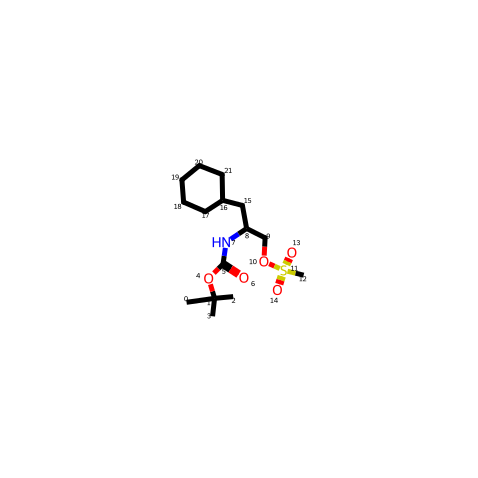 CC(C)(C)OC(=O)NC(COS(C)(=O)=O)CC1CCCCC1